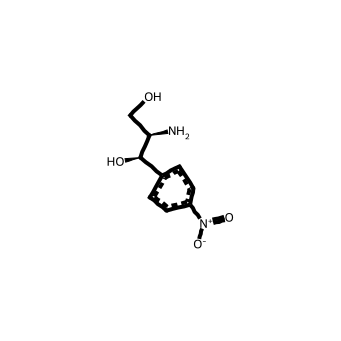 N[C@H](CO)[C@H](O)c1ccc([N+](=O)[O-])cc1